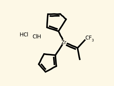 C[C](=[Zr]([C]1=CC=CC1)[C]1=CC=CC1)C(F)(F)F.Cl.Cl